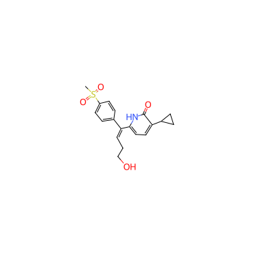 CS(=O)(=O)c1ccc(C(=CCCO)c2ccc(C3CC3)c(=O)[nH]2)cc1